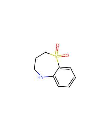 O=S1(=O)[C]CCNc2ccccc21